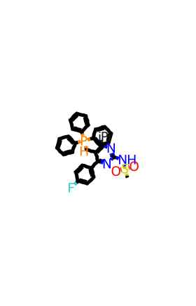 CC(C)c1nc(NS(C)(=O)=O)nc(-c2ccc(F)cc2)c1C[PH](c1ccccc1)(c1ccccc1)c1ccccc1